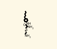 CCCCCc1ccc(NC(=O)C(N)CSSCCN)cc1